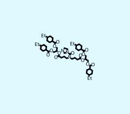 CCC1CCC(C(=O)OCC(COC(=O)C2CCC(CC)CC2)OC(=O)CCCN(CCCC(=O)OC(COC(=O)C2CCC(CC)CC2)COC(=O)C2CCC(CC)CC2)C(=O)N2C=NCC2)CC1